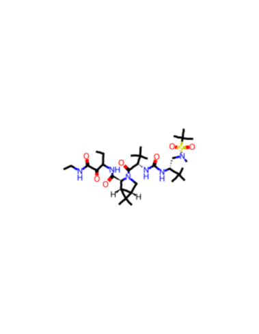 CCNC(=O)C(=O)C(CC)NC(=O)[C@@H]1[C@@H]2[C@H](CN1C(=O)[C@@H](NC(=O)N[C@H](CN(C)S(=O)(=O)C(C)(C)C)C(C)(C)C)C(C)(C)C)C2(C)C